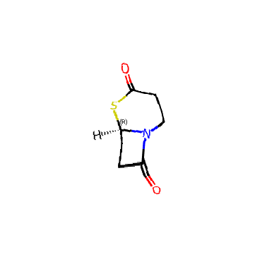 O=C1CCN2C(=O)C[C@H]2S1